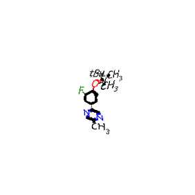 Cc1cnc([C@H]2CC[C@H](O[Si](C)(C)C(C)(C)C)[C@@H](F)C2)cn1